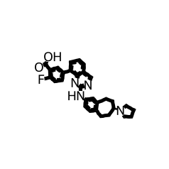 O=C(O)c1cc(-c2cccc3cnc(Nc4ccc5c(c4)CC[C@@H](N4CCCC4)CC5)nc23)ccc1F